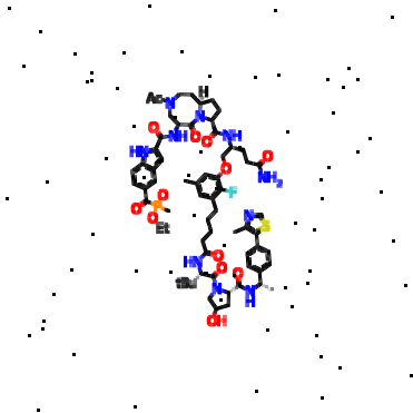 CCOP(C)(=O)C(=O)c1ccc2[nH]c(C(=O)N[C@H]3CN(C(C)=O)CC[C@H]4CC[C@@H](C(=O)N[C@@H](CCC(N)=O)COc5cc(C)cc(CCCCC(=O)N[C@H](C(=O)N6C[C@H](O)C[C@H]6C(=O)N[C@@H](C)c6ccc(-c7scnc7C)cc6)C(C)(C)C)c5F)N4C3=O)cc2c1